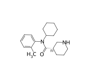 Cc1ccccc1N(C(=O)[C@H]1CCCNC1)C1CCCCC1